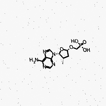 C[C@H]1C[C@@H](OCP(=O)(O)O)O[C@H]1n1cnc2c(N)ncnc21